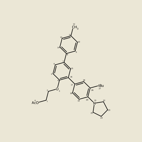 CC(=O)OCCOc1ccc(-c2ccc(C)cc2)cc1-c1ccc(N2CCCC2)c(C(C)(C)C)c1